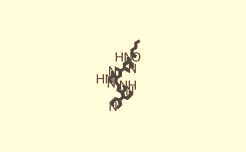 CCCCC(=O)Nc1cncc(-c2cnc3[nH]nc(-c4cc5c(-c6ccncc6)ccnc5[nH]4)c3c2)c1